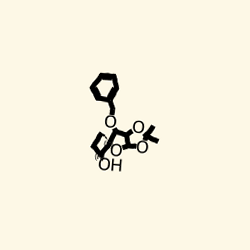 CC1(C)OC2O[C@]3(CC[C@H]3O)C(OCc3ccccc3)C2O1